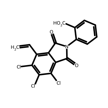 C=Cc1c(Cl)c(Cl)c(Cl)c2c1C(=O)N(c1ccccc1C(=O)O)C2=O